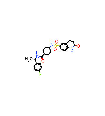 C[C@@H](NC(=O)C1CCC(NS(=O)(=O)c2ccc3c(c2)CCC(=O)N3)CC1)c1ccc(F)cc1